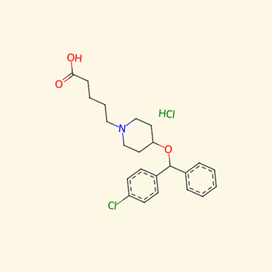 Cl.O=C(O)CCCCN1CCC(OC(c2ccccc2)c2ccc(Cl)cc2)CC1